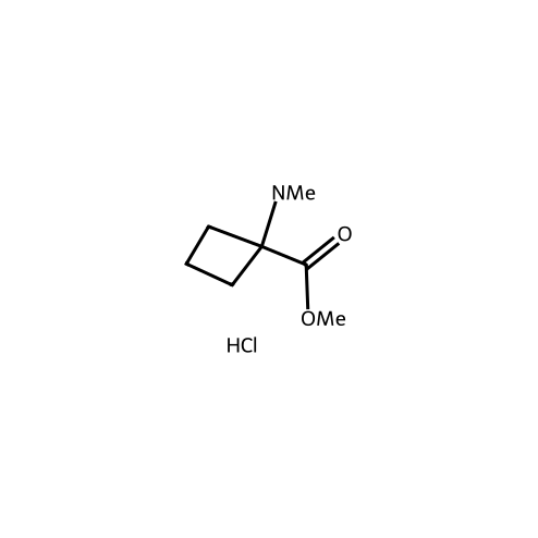 CNC1(C(=O)OC)CCC1.Cl